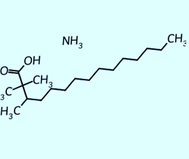 CCCCCCCCCCCCC(C)C(C)(C)C(=O)O.N